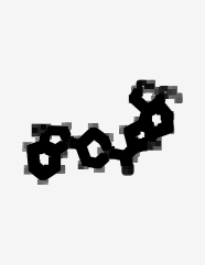 CCc1c(C)ccc2[nH]c(C(=O)N3CCC(N4[CH]Nc5ccccc54)CC3)cc12